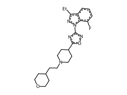 CCc1nn(-c2noc(C3CCN(CCC4CCOCC4)CC3)n2)c2c(F)cccc12